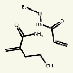 C=C(CCO)C(N)=O.C=CC(=O)NOCC